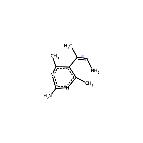 C/C(=C/N)c1c(C)nc(N)nc1C